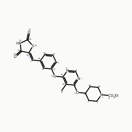 CCOC(=O)N1CCC(Oc2ncnc(Oc3cccc(/C=C4\SC(=O)NC4=O)c3)c2C)CC1